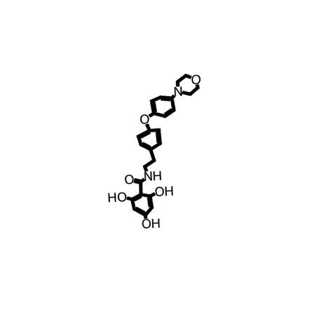 O=C(NCCc1ccc(Oc2ccc(N3CCOCC3)cc2)cc1)c1c(O)cc(O)cc1O